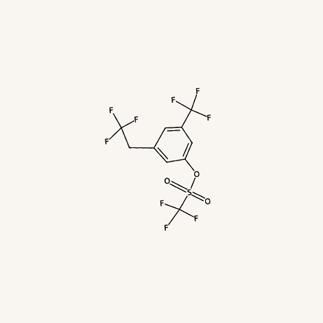 O=S(=O)(Oc1cc(CC(F)(F)F)cc(C(F)(F)F)c1)C(F)(F)F